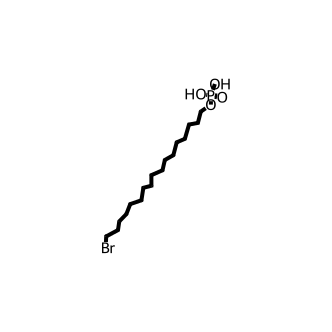 O=P(O)(O)OCCCCCCCCCCCCCCCCCBr